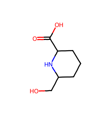 O=C(O)C1CCCC(CO)N1